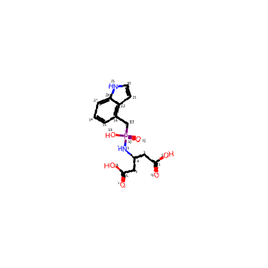 O=C(O)CC(CC(=O)O)NP(=O)(O)Cc1cccc2[nH]ccc12